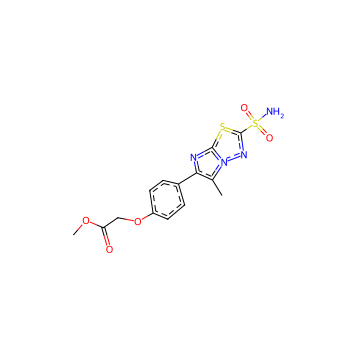 COC(=O)COc1ccc(-c2nc3sc(S(N)(=O)=O)nn3c2C)cc1